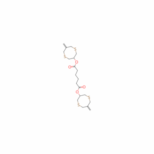 C=C1CSCC(OC(=O)CCCCC(=O)OC2CSCC(=C)CSC2)CSC1